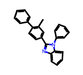 Cc1cc(-c2nc3ccccc3n2-c2ccccc2)ccc1-c1ccccc1